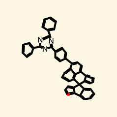 c1ccc(-c2nc(-c3ccccc3)nc(-c3ccc(-c4ccc5c6c(cccc46)C4(c6ccccc6-c6ccccc64)c4ccccc4-5)cc3)n2)cc1